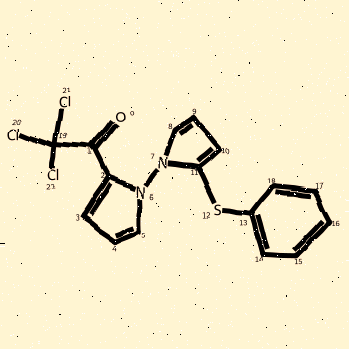 O=C(c1cccn1-n1cccc1Sc1ccccc1)C(Cl)(Cl)Cl